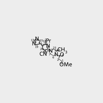 COCCC(=O)N1CCN(c2nc(C(C)C)c(-c3cncnc3)cc2C#N)CC1C